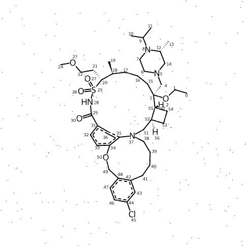 CCO[C@]1(CN2CCN(C(C)C)[C@H](C)C2)CCC[C@H](C)[C@@H](CCOC)S(=O)(=O)NC(=O)c2ccc3c(c2)N(CCCCc2cc(Cl)ccc2CO3)C[C@@H]2CC[C@H]21